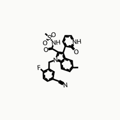 Cc1ccc2c(c1)c(-c1ccc[nH]c1=O)c(C(=O)NS(C)(=O)=O)n2Cc1cc(C#N)ccc1F